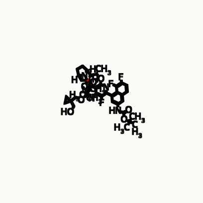 C[C@@H]1Oc2nc(-c3cc(NC(=O)OC(C)(C)C)cc4ccc(F)c(F)c34)c(F)c3nc(OCC4(CO)CC4)nc(c23)N2C[C@H]3CC[C@@H]([C@@H]12)N3C(=O)OC(C)(C)C